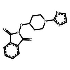 O=C1c2ccccc2C(=O)N1OC1CCN(c2nccs2)CC1